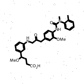 COc1cc(CC(=O)CNc2cccc(C(CCC(=O)O)OC)c2)ccc1NC(=O)N(C)c1ccccc1C